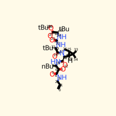 C=CCNC(=O)C(=O)C(CCCC)NC(=O)[C@@H]1[C@@H]2C(CN1C(=O)[C@@H](NC(=O)N[C@H](C(=O)OC(C)(C)C)C(C)(C)C)C(C)(C)C)C2(C)C